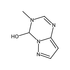 CN1C=Nc2ccnn2C1O